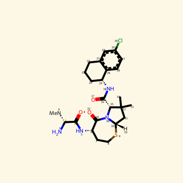 CN[C@@H](N)C(=O)N[C@H]1CCS[C@H]2CC(C)(C)[C@@H](C(=O)N[C@@H]3CCCc4cc(Cl)ccc43)N2C1=O